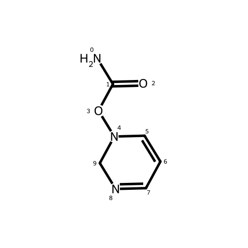 NC(=O)ON1C=CC=NC1